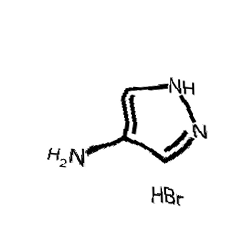 Br.Nc1cn[nH]c1